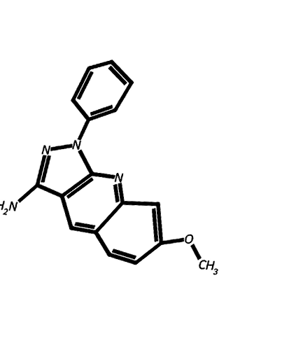 COc1ccc2cc3c(N)nn(-c4ccccc4)c3nc2c1